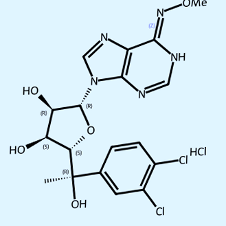 CO/N=c1\[nH]cnc2c1ncn2[C@@H]1O[C@H]([C@](C)(O)c2ccc(Cl)c(Cl)c2)[C@@H](O)[C@H]1O.Cl